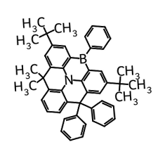 CC(C)(C)c1cc2c3c(c1)C(C)(C)c1cccc4c1N3c1c(cc(C(C)(C)C)cc1C4(c1ccccc1)c1ccccc1)B2c1ccccc1